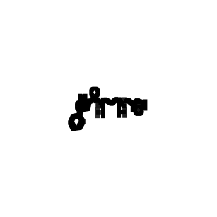 O=C(NCCCNCc1cnoc1)c1cc(-c2ccccc2)on1